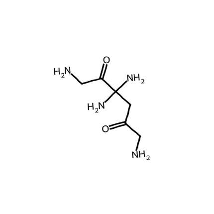 NCC(=O)CC(N)(N)C(=O)CN